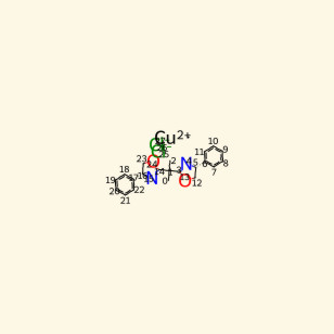 CC(C)(C1=N[C@H](c2ccccc2)CO1)C1=N[C@H](c2ccccc2)CO1.[Cl-].[Cl-].[Cu+2]